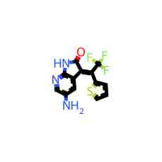 Nc1cnc2c(c1)C(=C(c1cccs1)C(F)(F)F)C(=O)N2